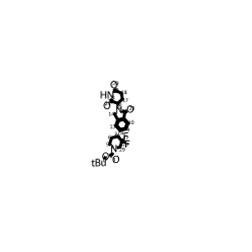 CC(C)(C)OC(=O)N1CC[C@H](c2ccc3c(c2)CN(C2CCC(=O)NC2=O)C3=O)C(F)(F)C1